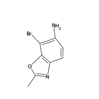 Cc1nc2ccc(N)c(Br)c2o1